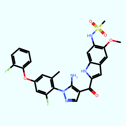 COc1cc2cc(C(=O)c3cnn(-c4c(C)cc(Oc5ccccc5F)cc4F)c3N)[nH]c2cc1NS(C)(=O)=O